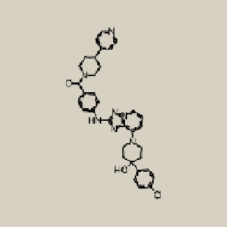 O=C(c1ccc(Nc2nc3c(N4CCC(O)(c5ccc(Cl)cc5)CC4)cccn3n2)cc1)N1CCC(c2ccncc2)CC1